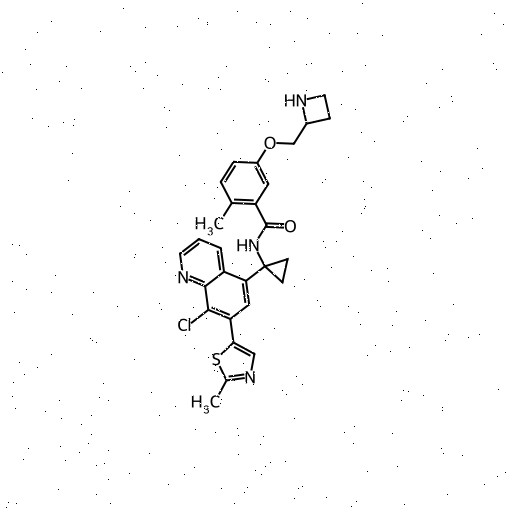 Cc1ncc(-c2cc(C3(NC(=O)c4cc(OCC5CCN5)ccc4C)CC3)c3cccnc3c2Cl)s1